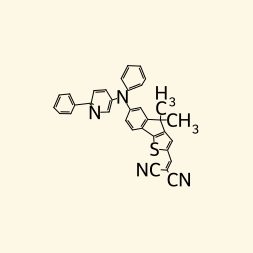 CC1(C)c2cc(N(c3ccccc3)c3ccc(-c4ccccc4)nc3)ccc2-c2sc(C=C(C#N)C#N)cc21